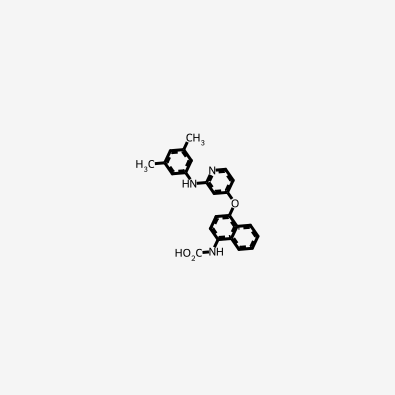 Cc1cc(C)cc(Nc2cc(Oc3ccc(NC(=O)O)c4ccccc34)ccn2)c1